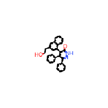 O=c1[nH]nc(-c2ccccc2)c(-c2ccccc2)c1-c1cc(CCO)cc2ccccc12